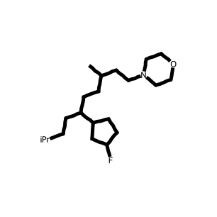 CC(C)CCC(CCC(C)CCN1CCOCC1)C1CCC(F)C1